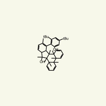 CC1=C(c2c(O)cc(C(C)(C)C)cc2C(C)(C)C)C2C(C=C1)C(C)(O)C1(C)C3(C)C=CC=CC3(C)C3(C)C=CC=CC3(C)C21C